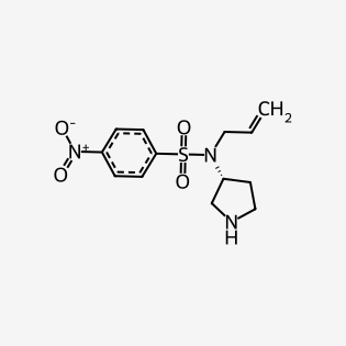 C=CCN([C@@H]1CCNC1)S(=O)(=O)c1ccc([N+](=O)[O-])cc1